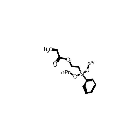 C=CC(=O)OCC[Si](OCCC)(OCCC)c1ccccc1